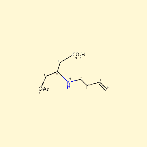 C=CCCNC(COC(C)=O)CC(=O)O